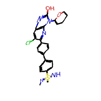 CN=S(C)(=N)c1ccc(-c2ccc(-c3nc4c(cc3Cl)nc(O)n4C3CCCCO3)cc2)cc1